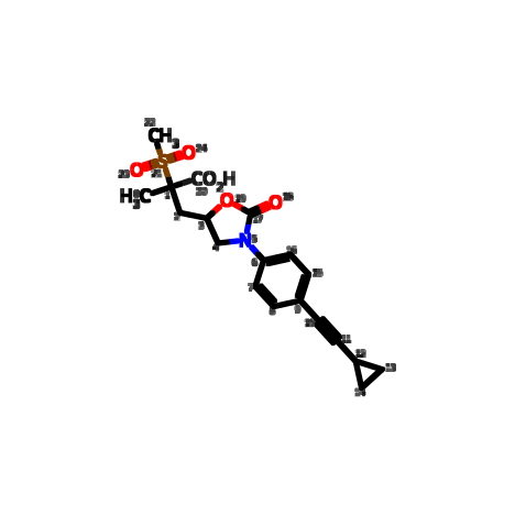 CC(CC1CN(c2ccc(C#CC3CC3)cc2)C(=O)O1)(C(=O)O)S(C)(=O)=O